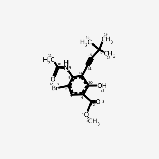 COC(=O)c1cc(Br)c(NC(C)=O)c(C#CC(C)(C)C)c1O